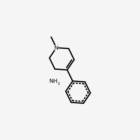 CN1CC=C(c2ccccc2)CC1.N